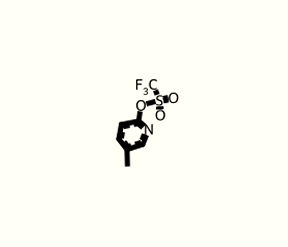 Cc1ccc(OS(=O)(=O)C(F)(F)F)nc1